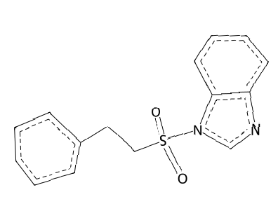 O=S(=O)(CCc1ccccc1)n1cnc2ccccc21